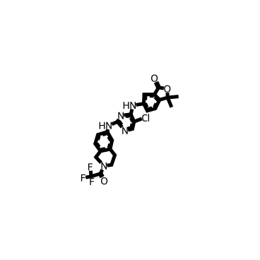 CC1(C)OC(=O)c2cc(Nc3nc(Nc4ccc5c(c4)CCN(C(=O)C(F)(F)F)C5)ncc3Cl)ccc21